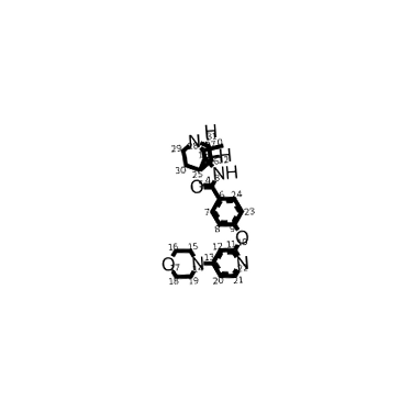 C[C@H]1[C@H](NC(=O)c2ccc(Oc3cc(N4CCOCC4)ccn3)cc2)C2CCN1CC2